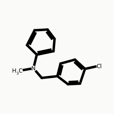 CN(Cc1ccc(Cl)cc1)c1ccccc1